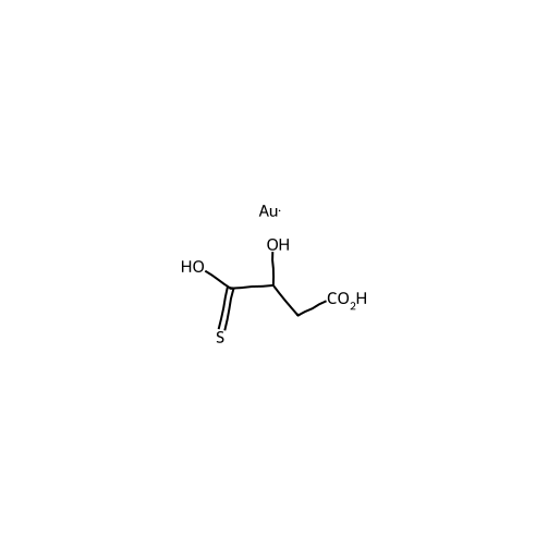 O=C(O)CC(O)C(O)=S.[Au]